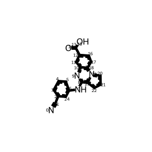 N#Cc1cccc(Nc2nc3cc(C(=O)O)ccc3n3cccc23)c1